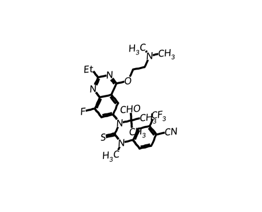 CCc1nc(OCCN(C)C)c2cc(N(C(=S)N(C)c3ccc(C#N)c(C(F)(F)F)c3)C(C)(C)C=O)cc(F)c2n1